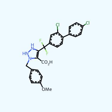 COc1ccc(CN2NNC(C(F)(F)c3ccc(-c4ccc(Cl)cc4)c(Cl)c3)=C2C(=O)O)cc1